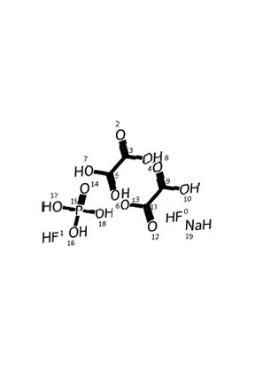 F.F.O=C(O)C(=O)O.O=C(O)C(=O)O.O=P(O)(O)O.[NaH]